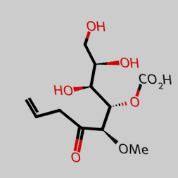 C=CCC(=O)[C@H](OC)[C@@H](OC(=O)O)[C@@H](O)[C@H](O)CO